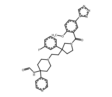 COc1ccc(-n2cnnn2)cc1C(=O)N1CCC(CCN2CCC(NC=O)(c3ccncc3)CC2)(c2cccc(F)c2)C1